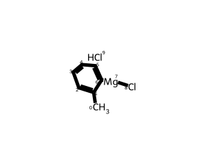 Cc1cccc[c]1[Mg][Cl].Cl